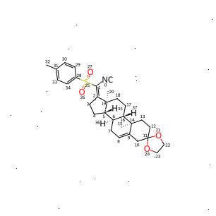 [C-]#[N+]C(=C1CC[C@H]2[C@@H]3CC=C4CC5(CC[C@]4(C)[C@H]3CC[C@]12C)OCCO5)S(=O)(=O)c1ccc(C)cc1